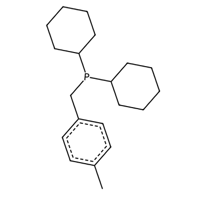 Cc1ccc(CP(C2CCCCC2)C2CCCCC2)cc1